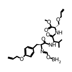 BOC=N[C@@H](Cc1ccc(OCC=C)cc1)C(=O)N[C@H](C(=O)N[C@@H](COCC=C)C(=O)OC)C(C)C